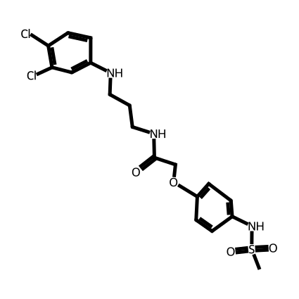 CS(=O)(=O)Nc1ccc(OCC(=O)NCCCNc2ccc(Cl)c(Cl)c2)cc1